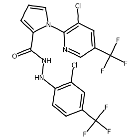 O=C(NNc1ccc(C(F)(F)F)cc1Cl)c1cccn1-c1ncc(C(F)(F)F)cc1Cl